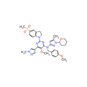 COc1ccc(CN(c2cc(C)n(C3CCCCO3)n2)c2nc(N3CCc4cc(S(C)(=O)=O)ccc43)nc(-c3cnn(C)c3)c2OC)cc1